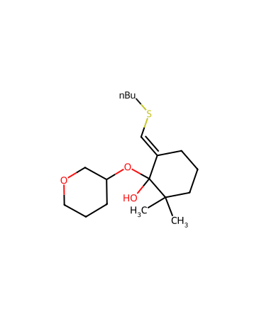 CCCCSC=C1CCCC(C)(C)C1(O)OC1CCCOC1